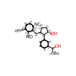 CCCCC(O)c1cccc(C2C(Cc3cccc(CCC)c3N=O)[C@H](C#N)C[C@H]2O)c1